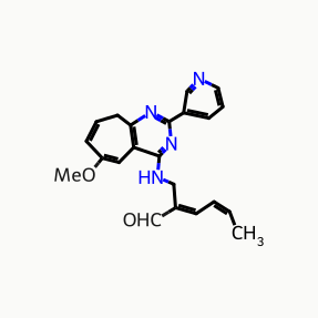 C/C=C\C=C(\C=O)CNc1nc(-c2cccnc2)nc2c1C=C(OC)C=CC2